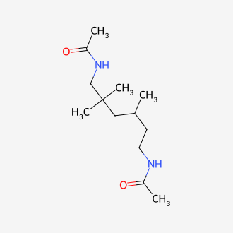 CC(=O)NCCC(C)CC(C)(C)CNC(C)=O